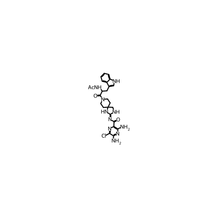 CC(=O)NC(Cc1c[nH]c2ccccc12)C(=O)N1CCC2(CC1)CN/C(=N\C(=O)c1nc(Cl)c(N)nc1N)N2